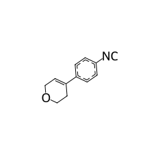 [C-]#[N+]c1ccc(C2=CCOCC2)cc1